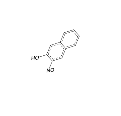 O=Nc1cc2ccccc2cc1O